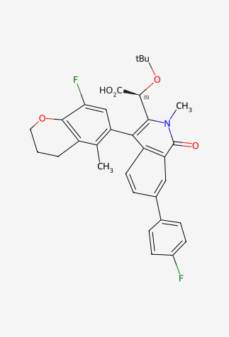 Cc1c(-c2c([C@H](OC(C)(C)C)C(=O)O)n(C)c(=O)c3cc(-c4ccc(F)cc4)ccc23)cc(F)c2c1CCCO2